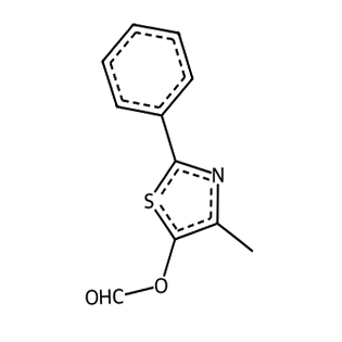 Cc1nc(-c2ccccc2)sc1OC=O